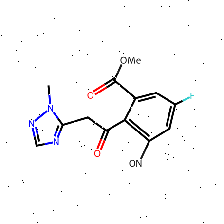 COC(=O)c1cc(F)cc(N=O)c1C(=O)Cc1ncnn1C